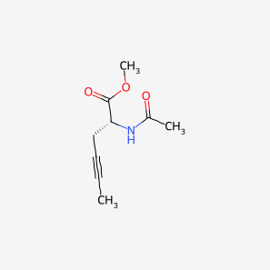 CC#CC[C@@H](NC(C)=O)C(=O)OC